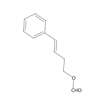 O=[C]OCCC=Cc1ccccc1